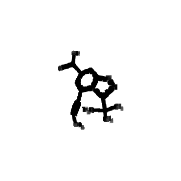 CC#Cc1cc(C(=O)O)cc2nnc(C(C)(C)C)n12